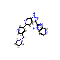 c1cc2[nH]c(-c3n[nH]c4cnc(-c5cncc(CN6CCCC6)c5)cc34)nc2cn1